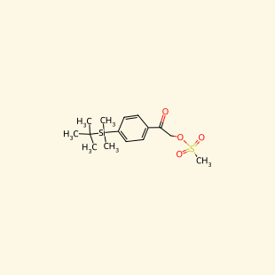 CC(C)(C)[Si](C)(C)c1ccc(C(=O)COS(C)(=O)=O)cc1